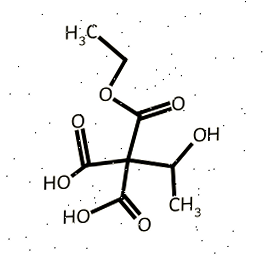 CCOC(=O)C(C(=O)O)(C(=O)O)C(C)O